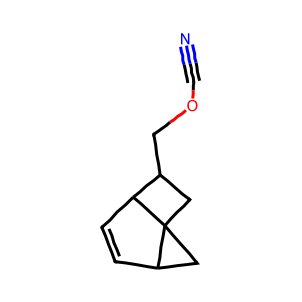 N#COCC1CC23CC2C=CC13